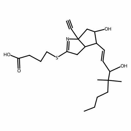 C#CC12CC(O)C(C=CC(O)C(C)(C)CCCC)C1CC(SCCCC(=O)O)=N2